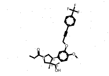 C[CH]C(=O)N1C[C@@H](c2ccc(OC)c(OCC#Cc3ccc(C(F)(F)F)cc3)c2)[C@](C)([C@@H](C)O)C1